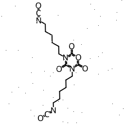 O=C=NCCCCCCn1c(=O)oc(=O)n(CCCCCCN=C=O)c1=O